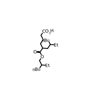 CCCCC(CC)COC(=O)C(CCCC(=O)O)CC(CC)CCCC